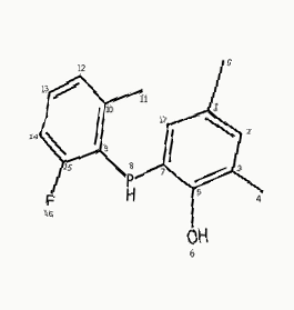 Cc1cc(C)c(O)c(Pc2c(C)cccc2F)c1